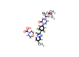 Cc1ccn2c(C[C@H]3CN(C(=O)O)CCO3)c(-c3c(F)cc(N4CCN(C(=O)OC(C)(C)C)CC4=O)cc3F)nc2c1